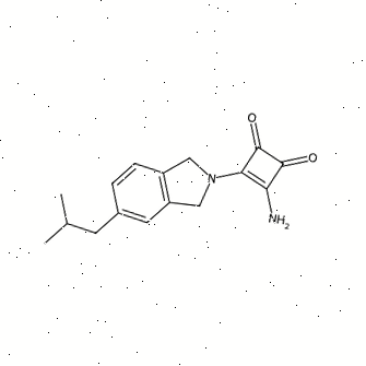 CC(C)Cc1ccc2c(c1)CN(c1c(N)c(=O)c1=O)C2